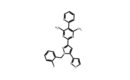 Cc1nc(-c2cc(-c3ccon3)n(Cc3ccccc3F)n2)nc(N)c1-c1ccccn1